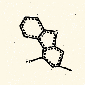 CCc1cc(C)cc2sc3ccccc3c12